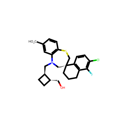 O=C(O)c1ccc2c(c1)N(C[C@@H]1CC[C@H]1CO)C[C@]1(CCCc3c1ccc(Cl)c3F)CS2